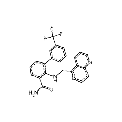 NC(=O)c1cccc(-c2cccc(C(F)(F)F)c2)c1NCc1cccc2ncccc12